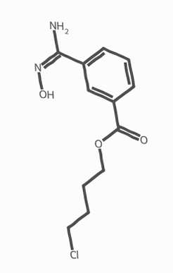 N/C(=N/O)c1cccc(C(=O)OCCCCCl)c1